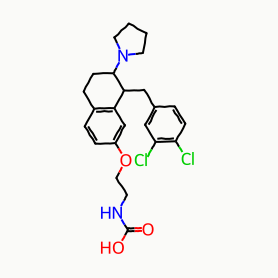 O=C(O)NCCOc1ccc2c(c1)C(Cc1ccc(Cl)c(Cl)c1)C(N1CCCC1)CC2